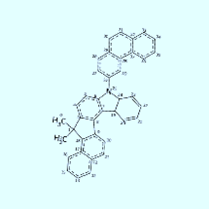 CC1(C)c2ccc3c(c2-c2ccc4ccccc4c21)C1C=CC=CC1N3c1ccc2ccc3ccccc3c2c1